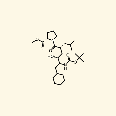 COC(=O)[C@@H]1CCCN1C(=O)[C@H](CC(C)C)C[C@H](O)[C@H](CC1CCCCC1)NC(=O)OC(C)(C)C